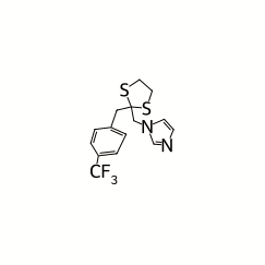 FC(F)(F)c1ccc(CC2(Cn3ccnc3)SCCS2)cc1